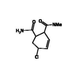 CNC(=O)C1C=CC(Cl)CC1C(N)=O